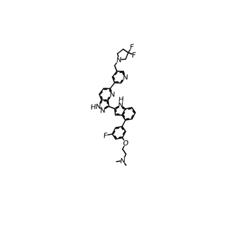 CN(C)CCOc1cc(F)cc(-c2cccc3[nH]c(-c4n[nH]c5ccc(-c6cncc(CN7CCC(F)(F)C7)c6)nc45)cc23)c1